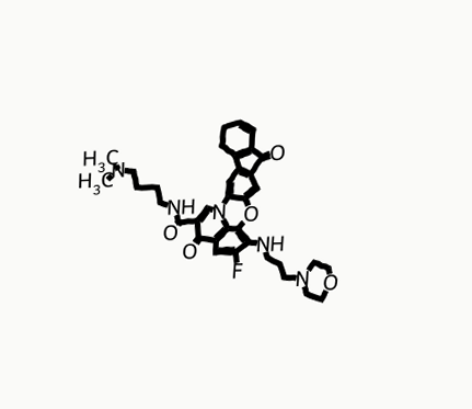 CN(C)CCCCNC(=O)c1cn2c3cc4c5c(c(=O)c4cc3oc3c(NCCCN4CCOCC4)c(F)cc(c1=O)c32)C=CCC5